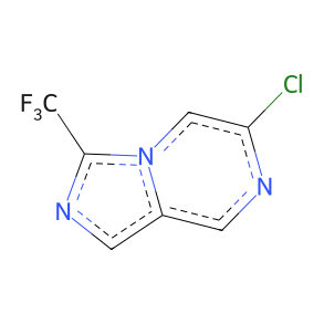 FC(F)(F)c1ncc2cnc(Cl)cn12